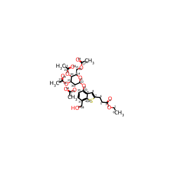 CCOC(=O)CCc1cc2c(O[C@@H]3O[C@H](COC(C)=O)[C@H](OC(C)=O)[C@H](OC(C)=O)[C@H]3OC(C)=O)ccc(CO)c2s1